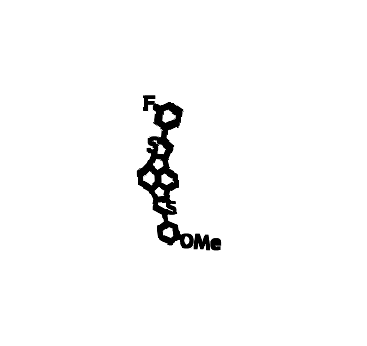 COc1cccc(-c2cc3c(s2)-c2ccc4c5c(ccc-3c25)C2SC(c3cccc(F)c3)=CC42)c1